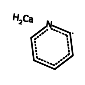 [CaH2].[c]1ccccn1